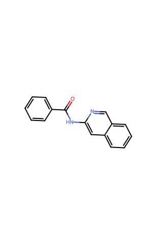 O=C(Nc1cc2ccccc2cn1)c1ccccc1